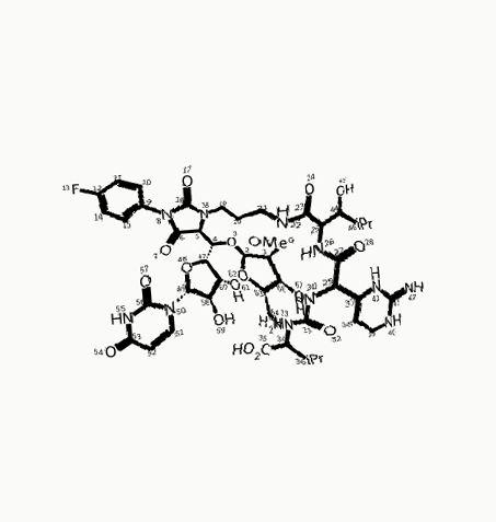 CO[C@@H]1C(OC(C2C(=O)N(c3ccc(F)cc3)C(=O)N2CCCNC(=O)C(NC(=O)C(NC(=O)NC(C(=O)O)C(C)C)C2CCNC(=N)N2)C(O)C(C)C)[C@H]2O[C@@H](n3ccc(=O)[nH]c3=O)[C@H](O)[C@H]2O)O[C@H](CN)[C@@H]1O